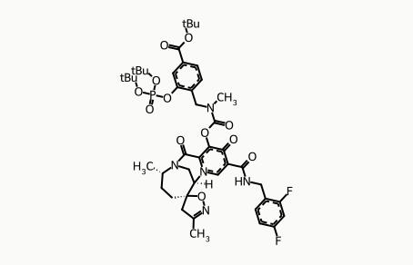 CC1=NO[C@@]2(CC[C@H](C)N3C[C@H]2n2cc(C(=O)NCc4ccc(F)cc4F)c(=O)c(OC(=O)N(C)Cc4ccc(C(=O)OC(C)(C)C)cc4OP(=O)(OC(C)(C)C)OC(C)(C)C)c2C3=O)C1